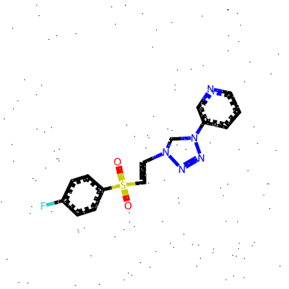 O=S(=O)(/C=C/N1CN(c2cccnc2)N=N1)c1ccc(F)cc1